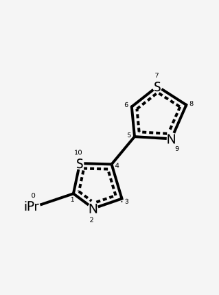 CC(C)c1n[c]c(-c2cscn2)s1